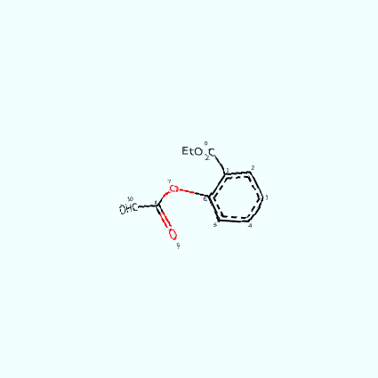 CCOC(=O)c1ccccc1OC(=O)C=O